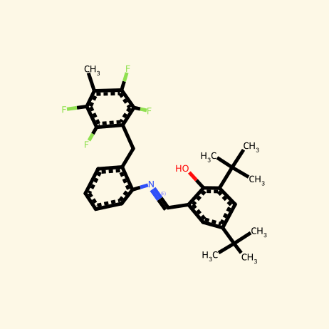 Cc1c(F)c(F)c(Cc2ccccc2/N=C/c2cc(C(C)(C)C)cc(C(C)(C)C)c2O)c(F)c1F